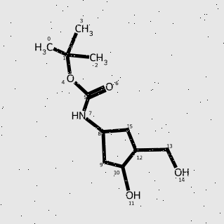 CC(C)(C)OC(=O)NC1CC(O)C(CO)C1